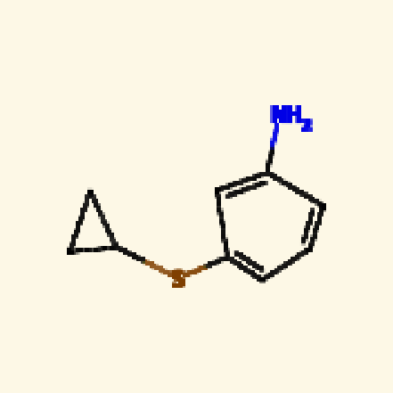 Nc1cccc(SC2CC2)c1